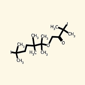 CC(C)(I)CCC(C)(C)C(C)(C)OCC(=O)C(C)(C)I